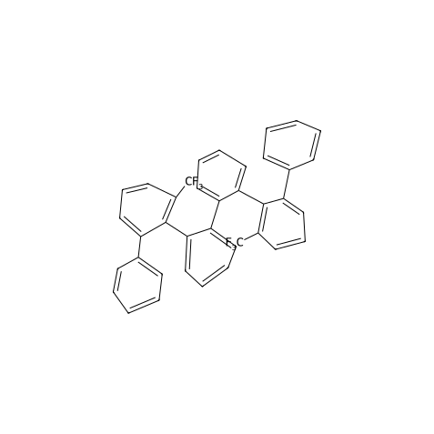 FC(F)(F)c1cccc(-c2ccccc2)c1-c1ccccc1-c1ccccc1-c1c(-c2ccccc2)cccc1C(F)(F)F